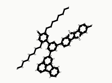 CCCCCCCCc1cc(-c2cc(-c3cc4c5c(cccc5c3)-c3ccccc3-4)cc(-c3ccc4c(c3)sc3c5ccc(C)cc5sc43)c2)c(CCCCCCCC)cc1C